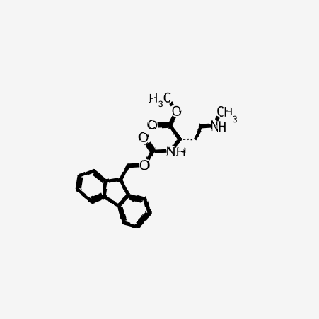 CNCC[C@H](NC(=O)OCC1c2ccccc2-c2ccccc21)C(=O)OC